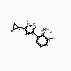 Cc1cccc(-c2nc(C3CC3)no2)c1N